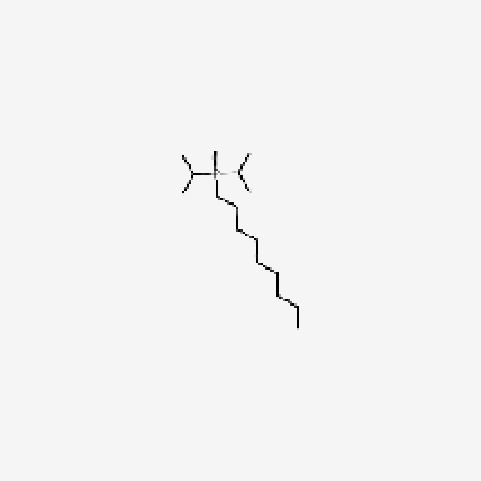 C=P(CCCCCCCCC)(C(C)C)C(C)C